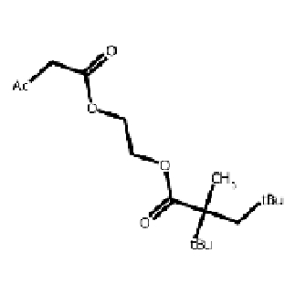 CC(=O)CC(=O)OCCOC(=O)C(C)(CC(C)(C)C)C(C)(C)C